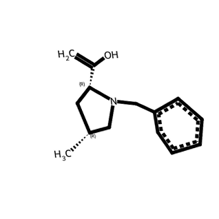 C=C(O)[C@H]1C[C@@H](C)CN1Cc1ccccc1